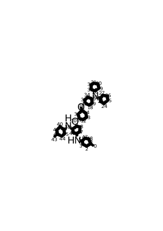 Cc1ccc(Nc2ccc(Oc3cccc(Oc4ccc(N(c5ccccc5)c5ccccc5)cc4)c3)c(Nc3ccc(C)cc3)c2)cc1